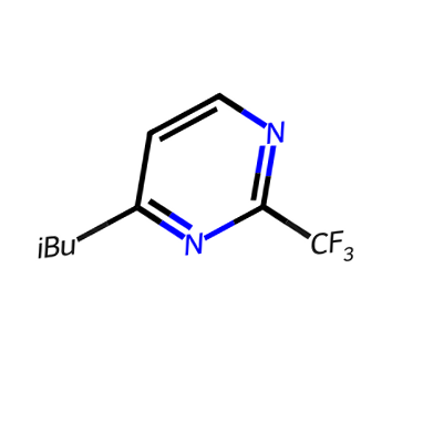 CCC(C)c1ccnc(C(F)(F)F)n1